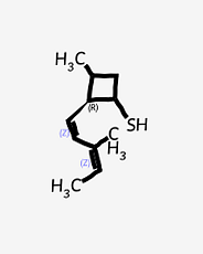 C/C=C(C)\C=C/[C@H]1C(C)CC1S